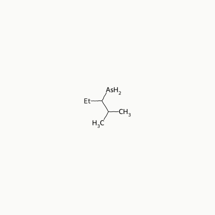 CCC([AsH2])C(C)C